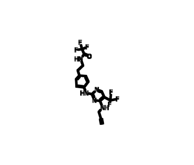 C#CCNc1nc(Nc2ccc(CCNC(=O)C(F)(F)F)cc2)ncc1C(F)(F)F